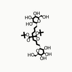 CC(C)(C)OC(=O)C(CCCC[C@H]1O[C@H](CO)[C@@H](O)[C@H](O)[C@H]1O)(CCCC[C@H]1O[C@H](CO)[C@@H](O)[C@H](O)[C@H]1O)C(=O)OC(C)(C)C